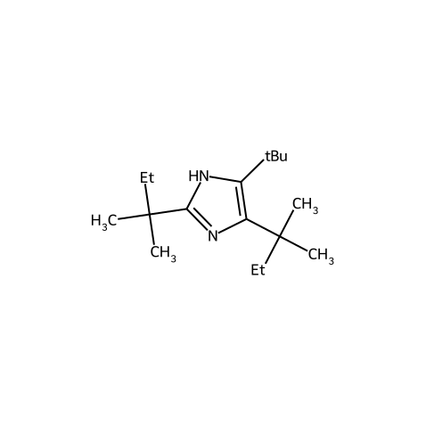 CCC(C)(C)c1nc(C(C)(C)CC)c(C(C)(C)C)[nH]1